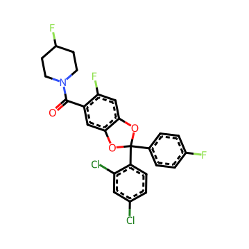 O=C(c1cc2c(cc1F)OC(c1ccc(F)cc1)(c1ccc(Cl)cc1Cl)O2)N1CCC(F)CC1